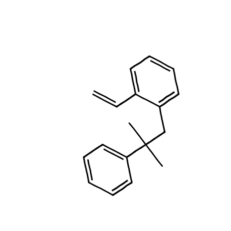 C=Cc1ccccc1CC(C)(C)c1ccccc1